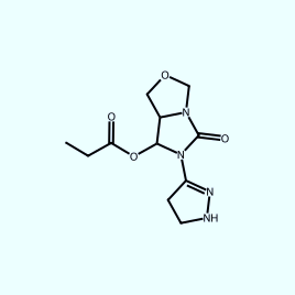 CCC(=O)OC1C2COCN2C(=O)N1C1=NNCC1